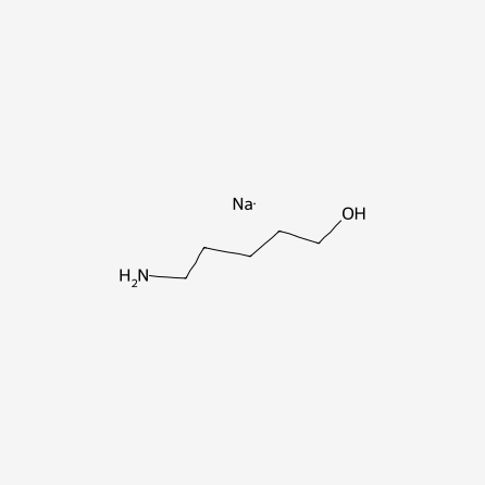 NCCCCCO.[Na]